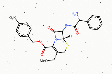 COCC1=C(C(=O)OCc2ccc([N+](=O)[O-])cc2)N2C(=O)C(NC(=O)C(N)c3ccccc3)[C@@H]2SC1